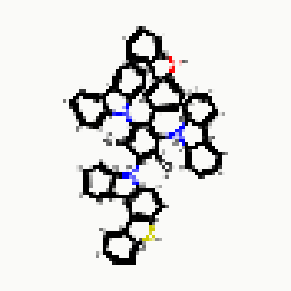 N#Cc1c(-n2c3ccccc3c3ccccc32)c(-c2ccc3oc4ccccc4c3c2)c(-n2c3ccccc3c3ccccc32)c(C#N)c1-n1c2ccccc2c2c3c(ccc21)sc1ccccc13